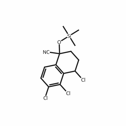 C[Si](C)(C)OC1(C#N)CCC(Cl)c2c1ccc(Cl)c2Cl